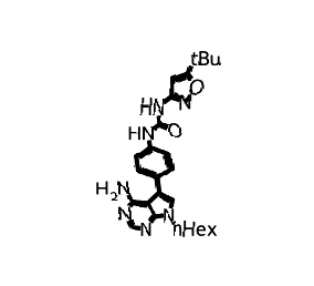 CCCCCCn1cc(-c2ccc(NC(=O)Nc3cc(C(C)(C)C)on3)cc2)c2c(N)ncnc21